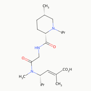 C/C(=C\[C@H](C(C)C)N(C)C(=O)CNC(=O)[C@@H]1CC[C@H](C)CN1C(C)C)C(=O)O